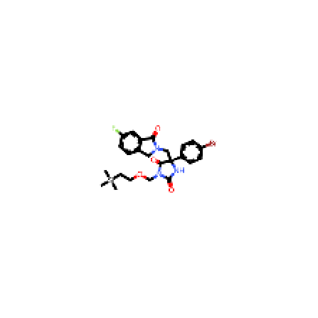 C[Si](C)(C)CCOCN1C(=O)NC(CN2Cc3ccc(F)cc3C2=O)(c2ccc(Br)cc2)C1=O